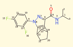 CC(C)NC(=O)c1nn(-c2ccc(F)cc2F)c2c1C1CCC2C1